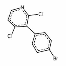 Clc1ccnc(Cl)c1-c1ccc(Br)cc1